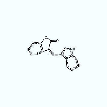 O=C1Oc2ccccc2/C1=C/c1c[nH]c2ccccc12